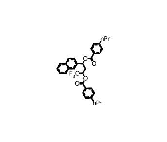 CCCc1ccc(C(=O)OC(CC(OC(=O)c2ccc(CCC)cc2)C(F)(F)F)c2ccc3ccccc3c2)cc1